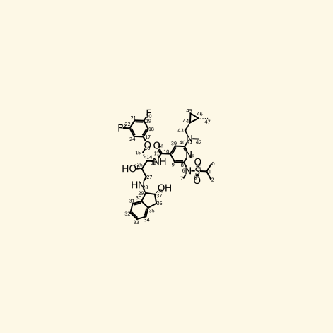 CC(C)S(=O)(=O)N(C)c1cc(C(=O)N[C@@H](COc2cc(F)cc(F)c2)[C@H](O)CN[C@@H]2c3ccccc3C[C@H]2O)cc(N(C)C[C@H]2C[C@@H]2C)n1